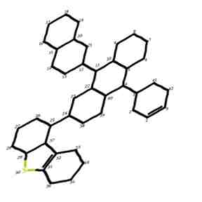 C1=CCC(C2C3CCCCC3C(C3CCC4CCCCC4C3)C3CC(C4CCCC5SC6=C(CCCC6)C54)CCC32)CC1